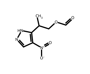 CC(COC=O)c1[nH]ncc1[N+](=O)[O-]